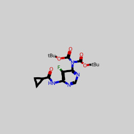 CC(C)(C)OC(=O)N(C(=O)OC(C)(C)C)c1ncnc(NC(=O)C2CC2)c1F